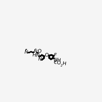 CN(C)CCCN(C)C(=O)Nc1cc(Oc2ccc(NC(=O)O)c(F)c2)ccn1